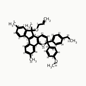 C=CCOC1(C)c2cc(C)ccc2-c2c1c1c(c3cc(C)ccc23)OC(c2ccc(CC)cc2)(c2ccc(OC)cc2)C=C1